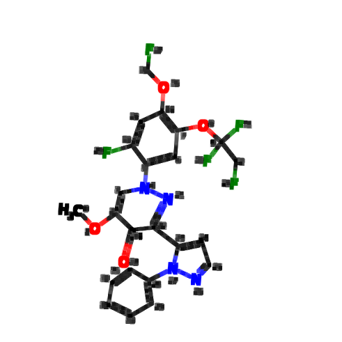 COc1cn(-c2cc(OC(F)(F)CF)c(OCF)cc2F)nc(-c2ccnn2-c2ccccc2)c1=O